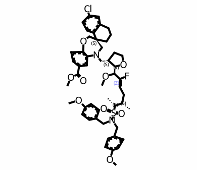 COC(=O)c1ccc2c(c1)N(C[C@@H]1CCO[C@H]1C(OC)/C(F)=C/C[C@H](C)[C@@H](C)S(=O)(=O)N(Cc1ccc(OC)cc1)Cc1ccc(OC)cc1)C[C@@]1(CCCc3cc(Cl)ccc31)CO2